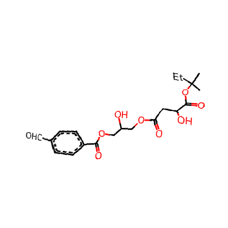 CCC(C)(C)OC(=O)C(O)CC(=O)OCC(O)COC(=O)c1ccc(C=O)cc1